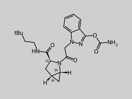 CC(C)(C)CCNC(=O)[C@@H]1C[C@H]2C[C@H]2N1C(=O)Cn1nc(OC(N)=O)c2ccccc21